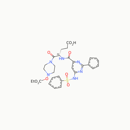 CCOC(=O)ON1CCN(C(=O)[C@H](CCC(=O)O)NC(=O)c2cc(NS(=O)(=O)c3ccccc3)nc(-c3ccccc3)n2)CC1